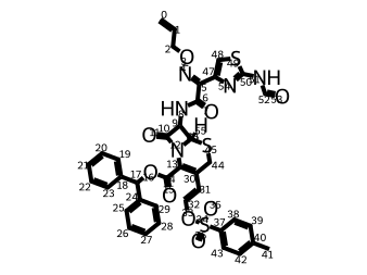 C=CCON=C(C(=O)NC1C(=O)N2C(C(=O)OC(c3ccccc3)c3ccccc3)=C(C=COS(=O)(=O)c3ccc(C)cc3)CS[C@@H]12)c1csc(NC=O)n1